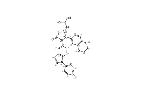 O=C(O)N[C@H]1CC(=O)N(c2ccc3c(cnn3-c3ccc(F)cc3)c2)[C@@H]1c1ccc2c(c1)OCCO2